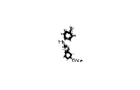 COc1ccc2oc(Nc3ccc(Br)cc3)nc2c1